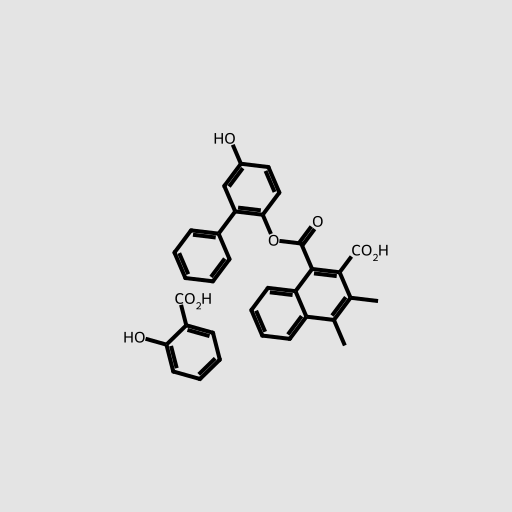 Cc1c(C(=O)O)c(C(=O)Oc2ccc(O)cc2-c2ccccc2)c2ccccc2c1C.O=C(O)c1ccccc1O